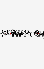 C=C(C)C(=O)OCCCCCCCCCCOc1ccc(-c2ccc(-c3ccc4c(c3)C(CCCCC)(C(C)C)c3cc(-c5cc6sc(-c7ccc8c(c7)C(CCCCCCCC)(CCCCCCCC)c7cc(C)ccc7-8)cc6s5)ccc3-4)s2)cc1